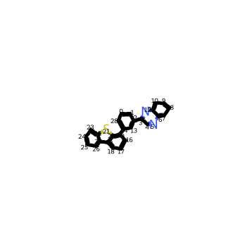 c1cc(-c2cnc3ccccc3n2)cc(-c2cccc3c2sc2ccccc23)c1